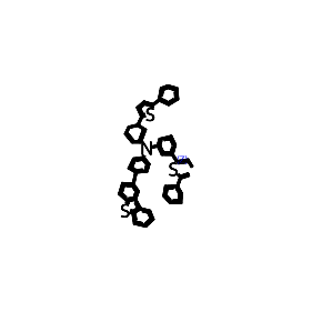 C=C(S/C(=C\C)c1cccc(N(C2=CC(c3ccc(-c4ccccc4)s3)CC=C2)c2ccc(-c3ccc4sc5ccccc5c4c3)cc2)c1)c1ccccc1